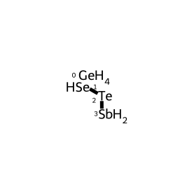 [GeH4].[SeH][Te][SbH2]